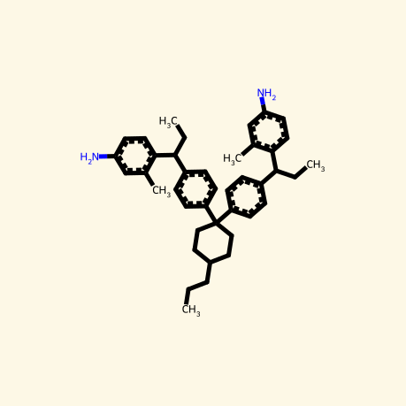 CCCC1CCC(c2ccc(C(CC)c3ccc(N)cc3C)cc2)(c2ccc(C(CC)c3ccc(N)cc3C)cc2)CC1